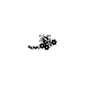 CN1C(=O)[C@@]2(S)C[C@]3(c4ccc(OCCCN=[N+]=[N-])cc4)c4ccccc4N(S(=O)(=O)c4ccccc4)[C@@H]3N2C(=O)[C@@H]1S